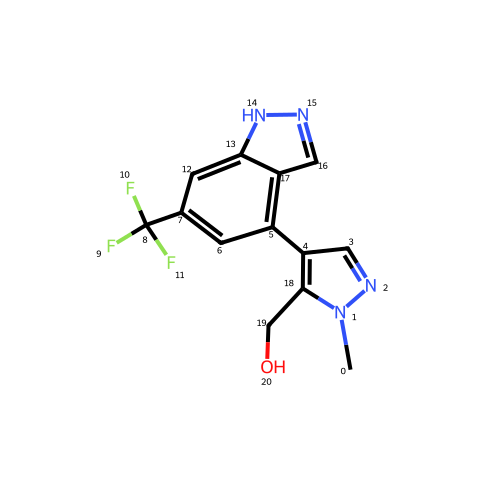 Cn1ncc(-c2cc(C(F)(F)F)cc3[nH]ncc23)c1CO